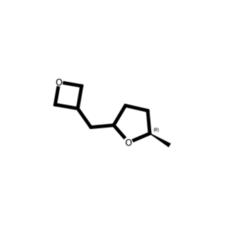 C[C@@H]1CCC(CC2COC2)O1